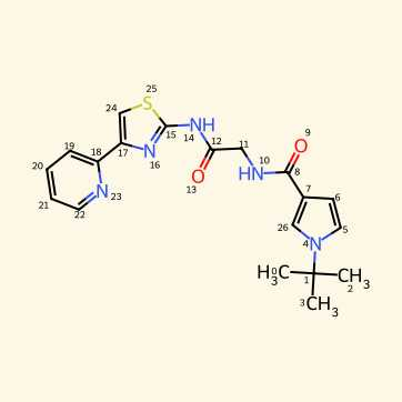 CC(C)(C)n1ccc(C(=O)NCC(=O)Nc2nc(-c3ccccn3)cs2)c1